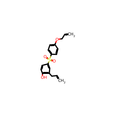 C=CCOc1ccc(S(=O)(=O)c2ccc(O)c(CC=C)c2)cc1